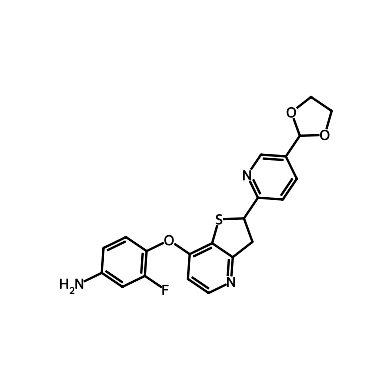 Nc1ccc(Oc2ccnc3c2SC(c2ccc(C4OCCO4)cn2)C3)c(F)c1